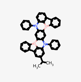 CC(C)c1cc2c3c(c1)N(c1ccccc1)c1cc4c(cc1B3c1ccccc1-2)N(c1ccccc1)c1cccc2c1B4c1ccccc1-2